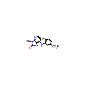 CCC(C)n1c(=O)[nH]c2c(Nc3cc(C(=O)O)ccc3C)ccnc21